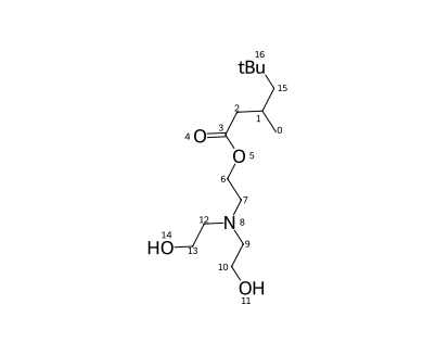 CC(CC(=O)OCCN(CCO)CCO)CC(C)(C)C